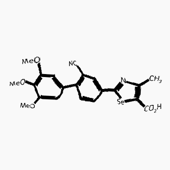 COc1cc(-c2ccc(-c3nc(C)c(C(=O)O)[se]3)cc2C#N)cc(OC)c1OC